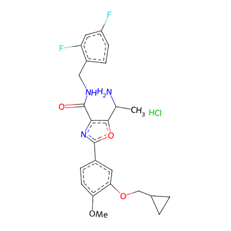 COc1ccc(-c2nc(C(=O)NCc3ccc(F)cc3F)c(C(C)N)o2)cc1OCC1CC1.Cl